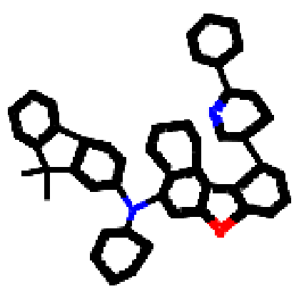 CC1(C)c2ccccc2-c2ccc(N(c3ccccc3)c3cc4oc5cccc(-c6ccc(-c7ccccc7)nc6)c5c4c4ccccc34)cc21